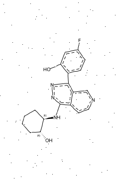 Oc1cc(F)ccc1-c1nnc(N[C@@H]2CCCC[C@H]2O)c2ccncc12